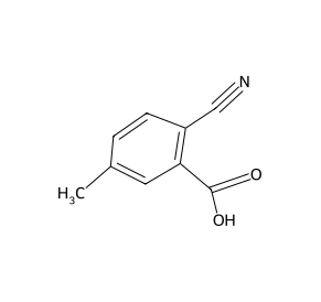 Cc1ccc(C#N)c(C(=O)O)c1